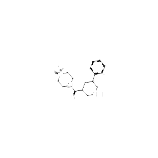 O=C(C1CNCC(c2ccccc2)C1)N1CCS(=O)(=O)CC1